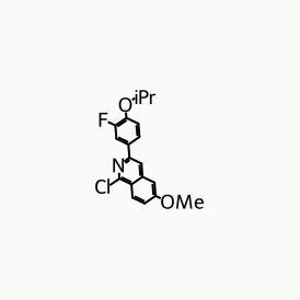 COc1ccc2c(Cl)nc(-c3ccc(OC(C)C)c(F)c3)cc2c1